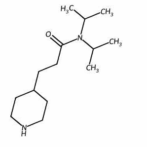 CC(C)N(C(=O)CCC1CCNCC1)C(C)C